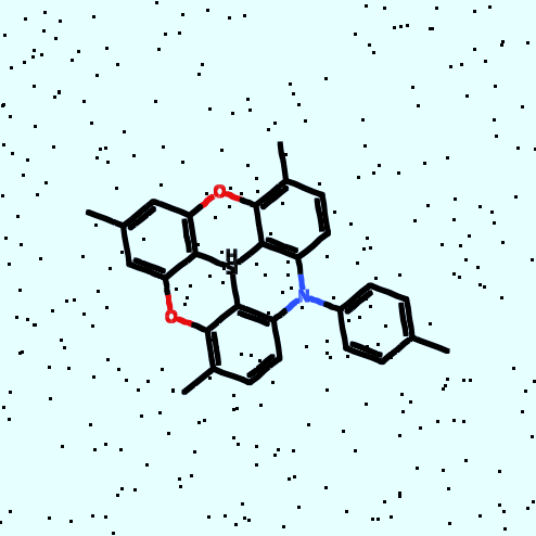 Cc1ccc(N2c3ccc(C)c4c3[SiH]3c5c(cc(C)cc5Oc5c(C)ccc2c53)O4)cc1